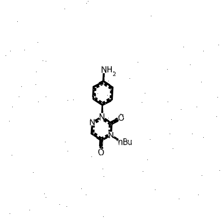 CCCCn1c(=O)cnn(-c2ccc(N)cc2)c1=O